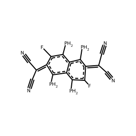 N#CC(C#N)=c1c(F)c(P)c2c(P)c(=C(C#N)C#N)c(F)c(P)c2c1P